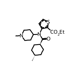 CCOC(=O)c1sccc1N(C(=O)[C@H]1CC[C@H](C)CC1)C1CCN(C)CC1